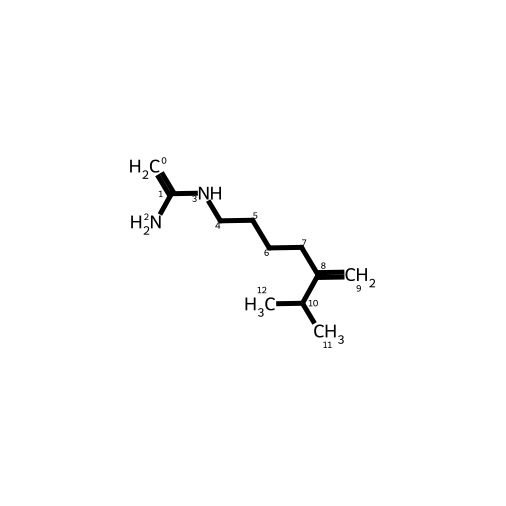 C=C(N)NCCCCC(=C)C(C)C